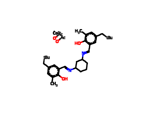 CC(=O)[O-].CC(=O)[O-].Cc1cc(CC(C)(C)C)cc(C=NC2CCCC(N=Cc3cc(CC(C)(C)C)cc(C)c3O)C2)c1O.[Co+2]